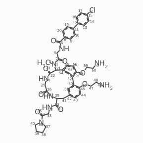 CN(C(=O)CNC(=O)c1ccc(-c2ccc(Cl)cc2)cc1)C1C(=O)NCC(=O)NC(C(=O)NCC(=O)N2CCCC2)Cc2ccc(OCCN)c(c2)-c2cc1ccc2OCCN